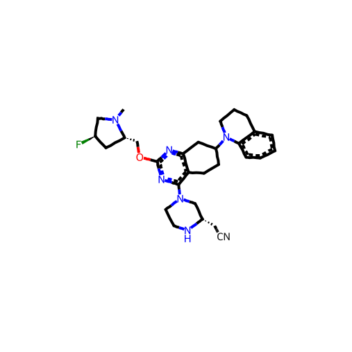 CN1C[C@H](F)C[C@H]1COc1nc2c(c(N3CCN[C@@H](CC#N)C3)n1)CCC(N1CCCc3ccccc31)C2